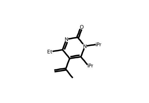 C=C(C)c1c(CC)nc(=O)n(C(C)C)c1C(C)C